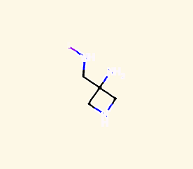 NC1(CNI)CNC1